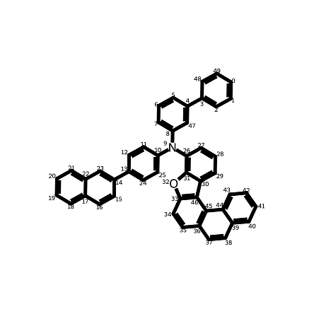 c1ccc(-c2cccc(N(c3ccc(-c4ccc5ccccc5c4)cc3)c3cccc4c3oc3ccc5ccc6ccccc6c5c34)c2)cc1